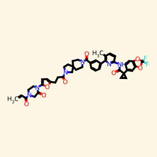 C=CC(=O)N1CCN(c2ccc(CCC(=O)N3CCC4(CCN(C(=O)c5cccc(-c6nc(NC(=O)C7(c8ccc9c(c8)OC(F)(F)O9)CC7)ccc6C)c5)CC4)C3)o2)C(=O)C1